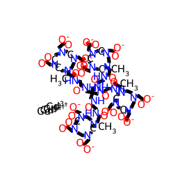 C[C@H](C(=O)NCC(=O)NCC(CNC(=O)CNC(=O)[C@@H](C)N1CCN(CC(=O)[O-])CCN(CC(=O)[O-])CCN(CC(=O)[O-])CC1)(CNC(=O)CNC(=O)[C@@H](C)N1CCN(CC(=O)[O-])CCN(CC(=O)[O-])CCN(CC(=O)[O-])CC1)CNC(=O)CNC(=O)[C@@H](C)N1CCN(CC(=O)[O-])CCN(CC(=O)[O-])CCN(CC(=O)[O-])CC1)N1CCN(CC(=O)[O-])CCN(CC(=O)[O-])CCN(CC(=O)[O-])CC1.[Gd+3].[Gd+3].[Gd+3].[Gd+3]